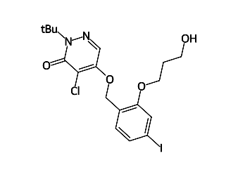 CC(C)(C)n1ncc(OCc2ccc(I)cc2OCCCO)c(Cl)c1=O